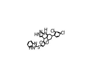 O=C1CC(c2ccc(Cl)cc2Cl)CC2=C1C(c1ccc(Sc3nc4ccccc4[nH]3)o1)c1c[nH]nc1N2